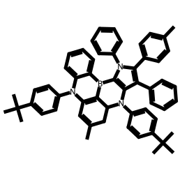 CC1=CC2=C3B(c4ccccc4N2c2ccc(C(C)(C)C)cc2)c2c(c(-c4ccccc4)c(-c4ccc(C)cc4)n2-c2ccccc2)N(c2ccc(C(C)(C)C)cc2)C3C1